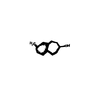 Cc1ccc2c(c1)CCC(O)CC2